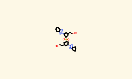 O=S(=O)(c1cc(CCO)cc(-n2nc3ccccc3n2)c1)c1cc(CCO)cc(-n2nc3ccccc3n2)c1